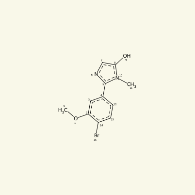 COc1cc(-c2ncc(O)n2C)ccc1Br